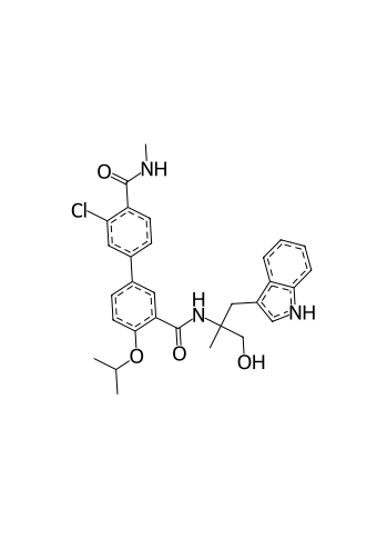 CNC(=O)c1ccc(-c2ccc(OC(C)C)c(C(=O)NC(C)(CO)Cc3c[nH]c4ccccc34)c2)cc1Cl